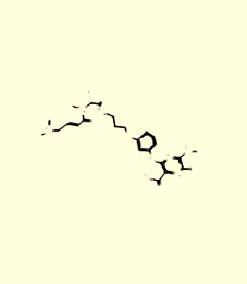 CCc1nc(C(N)=O)c(Nc2cccc(OCCCNC(=O)[C@H](C)N(C)C(=O)/C=C/CN(C)C)c2)nc1N(C)CC